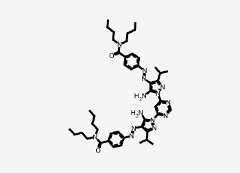 CCCCN(CCCC)C(=O)c1ccc(/N=N/c2c(C(C)C)nn(-c3cc(-n4nc(C(C)C)c(/N=N/c5ccc(C(=O)N(CCCC)CCCC)cc5)c4N)ncn3)c2N)cc1